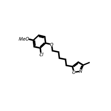 COc1ccc(OCCCCCc2cc(C)no2)c(Cl)c1